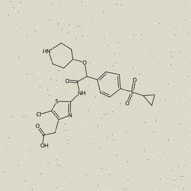 O=C(O)Cc1nc(NC(=O)C(OC2CCNCC2)c2ccc(S(=O)(=O)C3CC3)cc2)sc1Cl